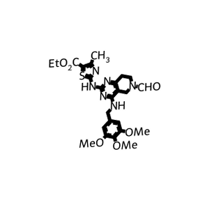 CCOC(=O)c1sc(Nc2nc3c(c(NCc4cc(OC)c(OC)c(OC)c4)n2)CN(C=O)CC3)nc1C